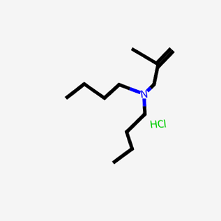 C=C(C)CN(CCCC)CCCC.Cl